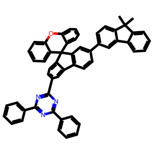 CC1(C)c2ccccc2-c2cc(-c3ccc4c(c3)C3(c5ccccc5Oc5ccccc53)c3ccc(-c5nc(-c6ccccc6)nc(-c6ccccc6)n5)cc3-4)ccc21